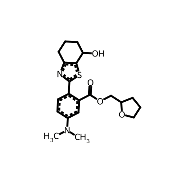 CN(C)c1ccc(-c2nc3c(s2)C(O)CCC3)c(C(=O)OCC2CCCO2)c1